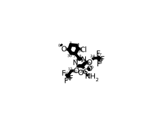 COc1ccc(Cl)c(-c2nc(OCC(F)(F)F)c(S(N)(=O)=O)c(OCC(F)(F)F)n2)c1